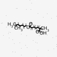 CC(C)CCCCCOC(=O)CCCCC(C)C(=O)O